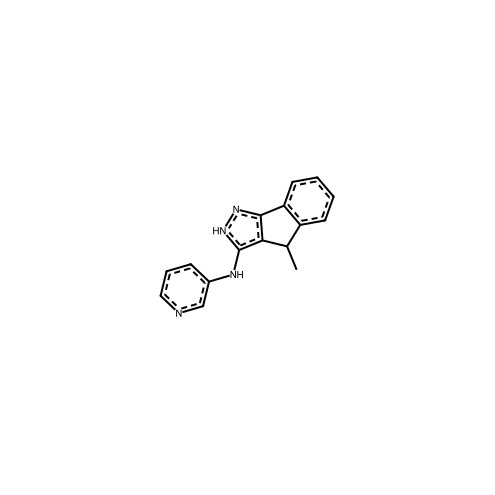 CC1c2ccccc2-c2n[nH]c(Nc3cccnc3)c21